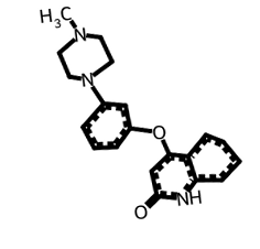 CN1CCN(c2cccc(Oc3cc(=O)[nH]c4ccccc34)c2)CC1